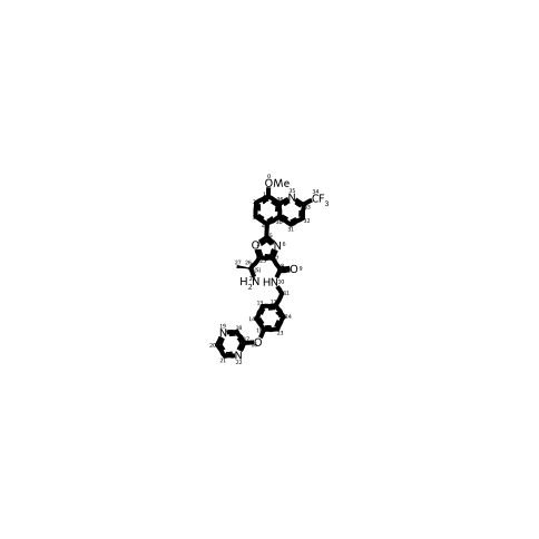 COc1ccc(-c2nc(C(=O)NCc3ccc(Oc4cnccn4)cc3)c([C@H](C)N)o2)c2ccc(C(F)(F)F)nc12